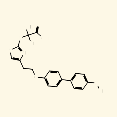 COc1ccc(-c2ccc(OCCc3csc(SC(C)(C)C(=O)O)n3)cc2)cc1